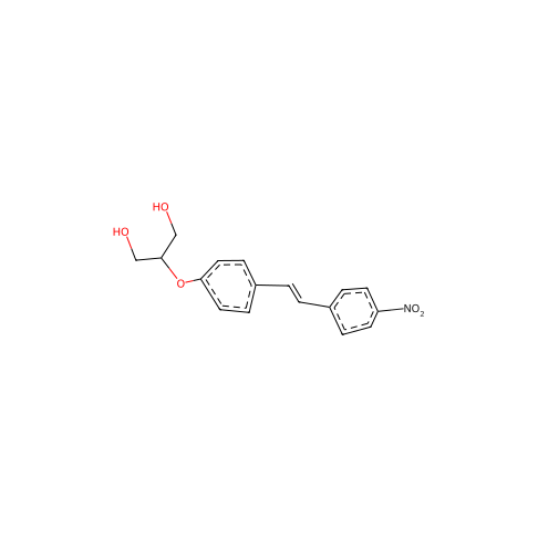 O=[N+]([O-])c1ccc(/C=C/c2ccc(OC(CO)CO)cc2)cc1